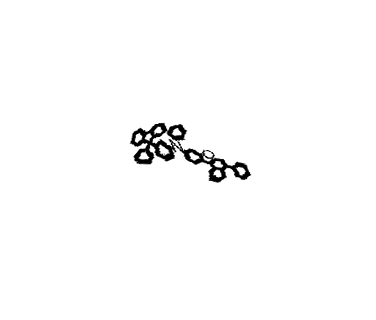 c1ccc(-c2cc3oc4cc(N(c5ccccc5)c5cccc(C6(c7ccccc7)c7ccccc7-c7ccccc76)c5)ccc4c3c3ccccc23)cc1